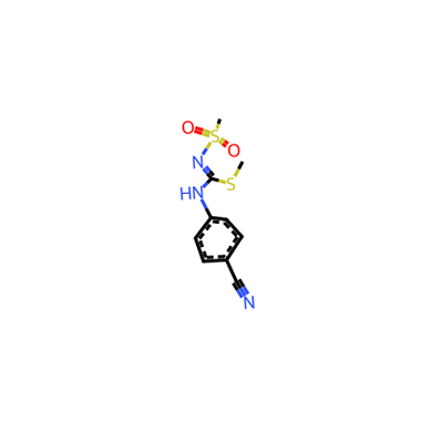 CS/C(=N\S(C)(=O)=O)Nc1ccc(C#N)cc1